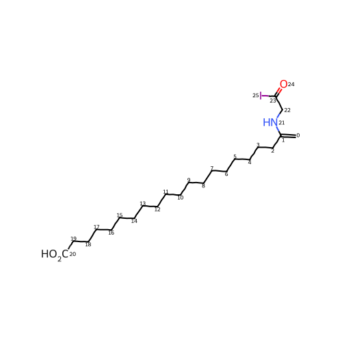 C=C(CCCCCCCCCCCCCCCCCCC(=O)O)NCC(=O)I